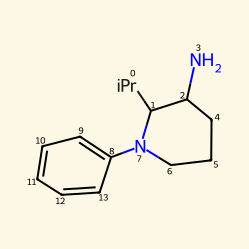 CC(C)C1C(N)CCCN1c1ccccc1